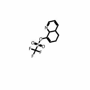 O=S(=O)(OC1=CCCC2C=CC=NC12)C(F)(F)F